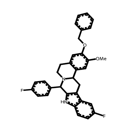 COc1cc2c(cc1OCc1ccccc1)CCN1C2Cc2c([nH]c3ccc(F)cc23)C1c1ccc(F)cc1